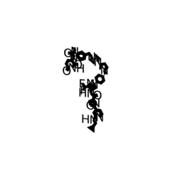 Cn1c(=O)n(C2CCC(=O)NC2=O)c2ccc(CN3CCN([C@@H]4CCN(C[C@H]5CC[C@H](n6cc(NC(=O)c7coc(-c8ccnc(NCC9CC9)c8)n7)c(C(F)F)n6)CC5)C4)CC3)cc21